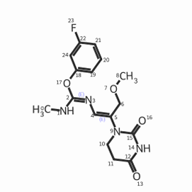 CN/C(=N\C=C(/COC)N1CCC(=O)NC1=O)Oc1cccc(F)c1